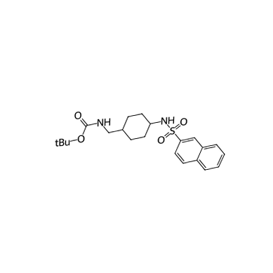 CC(C)(C)OC(=O)NCC1CCC(NS(=O)(=O)c2ccc3ccccc3c2)CC1